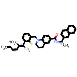 C=C/C=C\C(C(=O)O)=C(/C)c1cccc(CN2CCCc3cc(C(=O)N[C@@H](C)c4ccc5ccccc5c4)ccc32)c1F